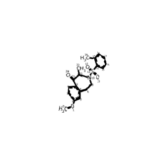 COc1ccc2c(c1)CCN(S(=O)(=O)c1ccccc1C)C(C)C2=O